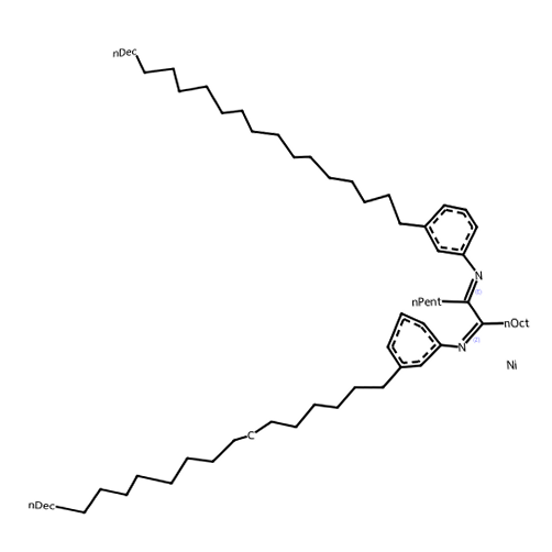 CCCCCCCCCCCCCCCCCCCCCCCCCc1cccc(/N=C(CCCCCCCC)\C(CCCCC)=N\c2cccc(CCCCCCCCCCCCCCCCCCCCCCCCC)c2)c1.[Ni]